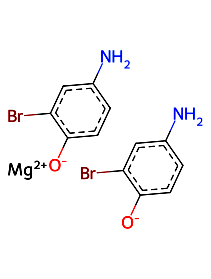 Nc1ccc([O-])c(Br)c1.Nc1ccc([O-])c(Br)c1.[Mg+2]